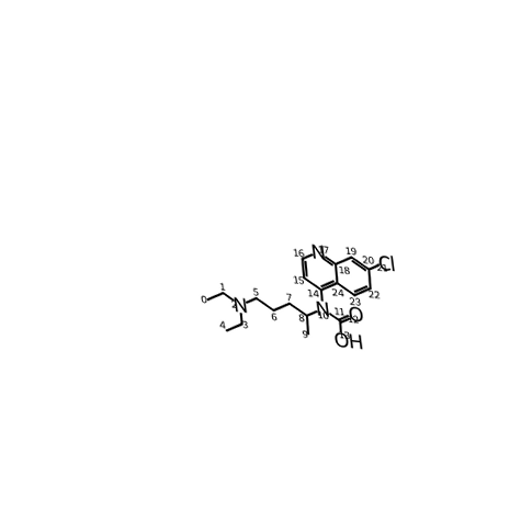 CCN(CC)CCCC(C)N(C(=O)O)c1ccnc2cc(Cl)ccc12